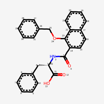 O=C(N[C@@H](Cc1ccccc1)C(=O)O)c1ccc2ccccc2c1OCc1ccccc1